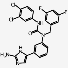 Nc1ncc(-c2cccc(N(Cc3cc(F)cc(F)c3)C(=O)Nc3ccc(Cl)c(Cl)c3)c2)[nH]1